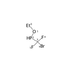 CCOPC(F)(F)Br